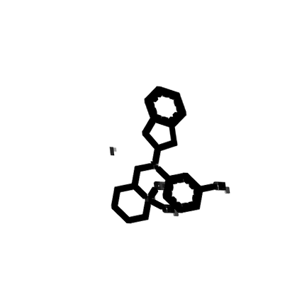 Cc1cccc(N(CC2CCCC[N+]2(C)C)C2Cc3ccccc3C2)c1.[I-]